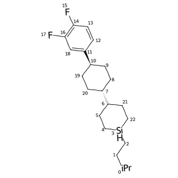 CC(C)CC[SiH]1CCC([C@H]2CC[C@H](c3ccc(F)c(F)c3)CC2)CC1